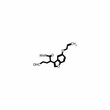 C=CCOc1ccc2occ(C(CCC=O)C(=O)NC)c2c1